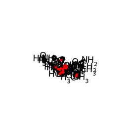 CC(C)C[C@H](NC(=O)CNC(=O)[C@H](Cc1ccc(O)cc1)NC(=O)[C@@H]1CCCN1C(=O)[C@H](Cc1c[nH]cn1)NC(=O)[C@H](Cc1ccccc1)NC(=O)[C@@H](N)Cc1ccccc1)C(=O)N[C@@H](Cc1ccccc1)C(=O)N[C@H](C(=O)N[C@@H](CCCCN)C(=O)NCC(=O)NCC(=O)NCC(=O)N[C@@H](CCCCNC(=O)CCCC[C@@H]1SC[C@@H]2NC(=O)N[C@@H]21)C(N)=O)C(C)C